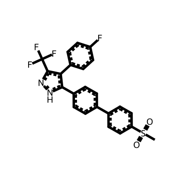 CS(=O)(=O)c1ccc(-c2ccc(-c3[nH]nc(C(F)(F)F)c3-c3ccc(F)cc3)cc2)cc1